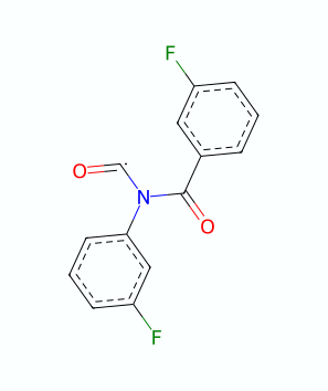 O=[C]N(C(=O)c1cccc(F)c1)c1cccc(F)c1